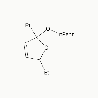 CCCCCOC1(CC)C=CC(CC)O1